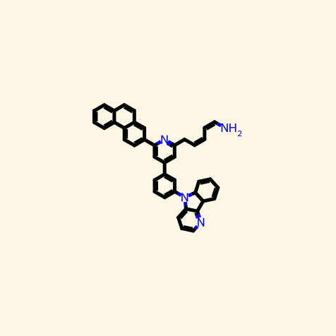 N/C=C\C=C/Cc1cc(-c2cccc(N3c4cccnc4C4C=CC=CC43)c2)cc(-c2ccc3c(ccc4ccccc43)c2)n1